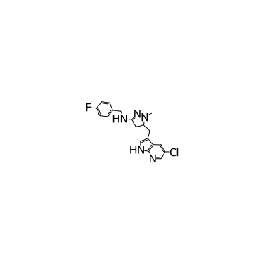 CN1N=C(NCc2ccc(F)cc2)CC1Cc1c[nH]c2ncc(Cl)cc12